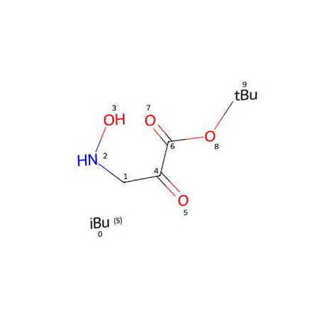 CC[C@H](C)C(NO)C(=O)C(=O)OC(C)(C)C